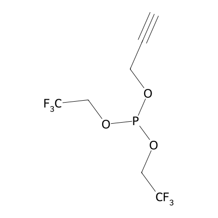 C#CCOP(OCC(F)(F)F)OCC(F)(F)F